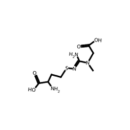 CN(CC(=O)O)C(N)=NSCCC(N)C(=O)O